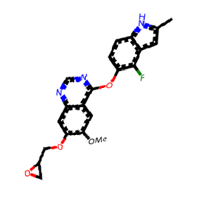 COc1cc2c(Oc3ccc4[nH]c(C)cc4c3F)ncnc2cc1OCC1CO1